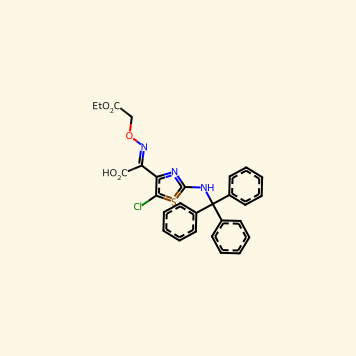 CCOC(=O)CON=C(C(=O)O)c1nc(NC(c2ccccc2)(c2ccccc2)c2ccccc2)sc1Cl